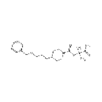 CC(C)(OC(=O)N1CCC([CH]CCOCc2ccccc2)CC1)C(N)=O